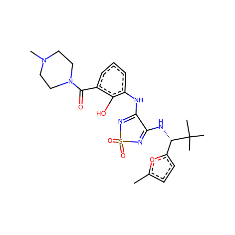 Cc1ccc([C@H](NC2=NS(=O)(=O)N=C2Nc2cccc(C(=O)N3CCN(C)CC3)c2O)C(C)(C)C)o1